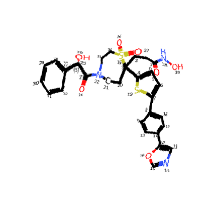 O=C(CC1(c2ccc(-c3ccc(-c4cnco4)cc3)s2)CCN(C(=O)[C@@H](O)c2ccccc2)CCS1(=O)=O)NO